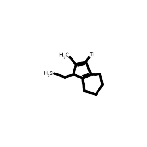 CC1=[C]([Ti])C2=C(CCCC2)C1C[SiH3]